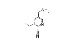 CCc1cc(CN)cnc1C#N